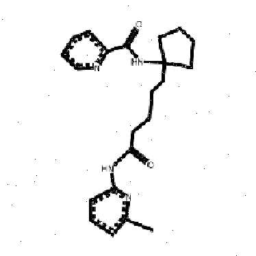 Cc1cccc(NC(=O)CCCCC2(NC(=O)c3ccccn3)CCCC2)n1